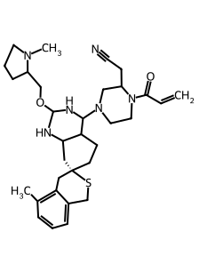 C=CC(=O)N1CCN(C2NC(OCC3CCCN3C)NC3C[C@@]4(CCC32)Cc2c(C)cccc2CS4)CC1CC#N